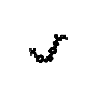 COC(=O)C1CN(c2ccc(N3CC[C@@H](Oc4ccc(OCC(F)(F)F)nc4)C3)cn2)C1